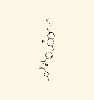 C[C@H](NC(=O)C1CC(F)C1)c1ccc(CN2Cc3ccc(OCC4CC4)cc3C(F)C2)cc1